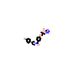 CC(O)(COc1ccc(C(=O)N2CC[C@H](c3ccc(F)cc3)C2)cc1)Cn1cnnn1